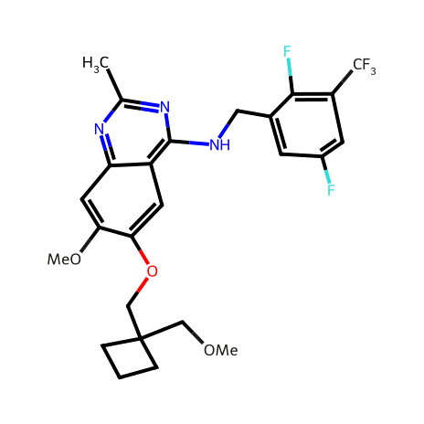 COCC1(COc2cc3c(NCc4cc(F)cc(C(F)(F)F)c4F)nc(C)nc3cc2OC)CCC1